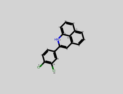 Clc1ccc(C2=Cc3cccc4cccc(c34)N2)cc1Cl